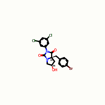 O=C1N(c2cc(Cl)cc(Cl)c2)C(=O)[C@]2(Cc3ccc(Br)cc3)C[C@@H](O)CN12